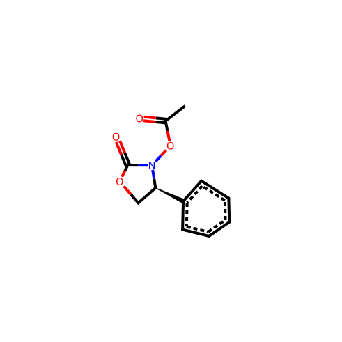 CC(=O)ON1C(=O)OC[C@@H]1c1ccccc1